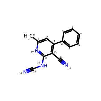 Cc1cc(-c2ccccc2)c(C#N)c(NC#N)n1